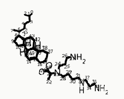 CC(C)CCCC(C)[C@H]1CC[C@H]2[C@@H]3CC=C4C[C@@H](OC(=O)C(C)N(CCCN)CCCCNCCCN)CC[C@]4(C)[C@H]3CC[C@]12C